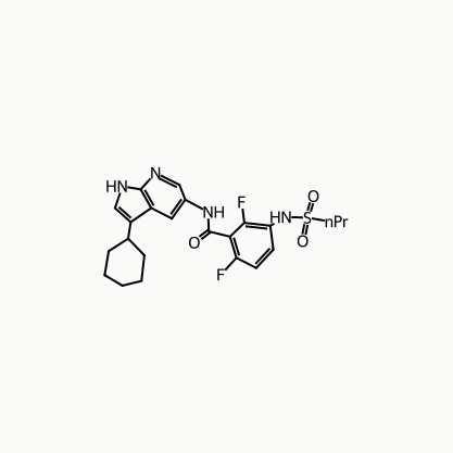 CCCS(=O)(=O)Nc1ccc(F)c(C(=O)Nc2cnc3[nH]cc(C4CCCCC4)c3c2)c1F